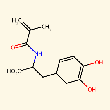 C=C(C)C(=O)NC(CC1C=CC(O)=C(O)C1)C(=O)O